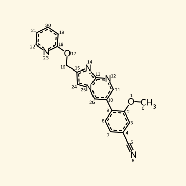 COc1cc(C#N)ccc1-c1cnc2nc(COc3ccccn3)cn2c1